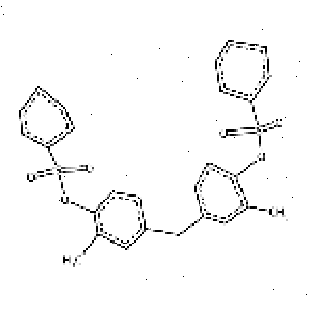 Cc1cc(Cc2ccc(OS(=O)(=O)c3ccccc3)c(C)c2)ccc1OS(=O)(=O)c1ccccc1